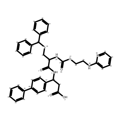 O=C(O)CC(NC(=O)C(CSC(c1ccccc1)c1ccccc1)NC(=O)OCCNc1ccccn1)c1ccc(-c2ccccc2)cc1